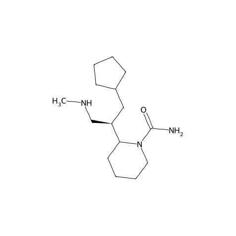 CNC[C@@H](CC1CCCC1)C1CCCCN1C(N)=O